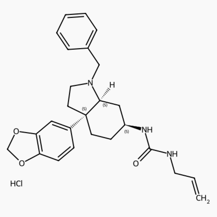 C=CCNC(=O)N[C@H]1CC[C@@]2(c3ccc4c(c3)OCO4)CCN(Cc3ccccc3)[C@H]2C1.Cl